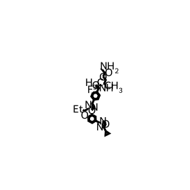 CCC(Oc1ccc(-c2noc(C3CC3)n2)cc1)c1nc(-c2ccc(C(=O)NC(C)(C)COC(=O)CN)c(F)c2)no1